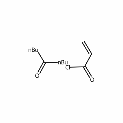 C=CC(=O)Cl.CCCCC(=O)CCCC